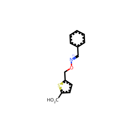 O=C(O)c1ccc(CO/N=C/c2ccccc2)s1